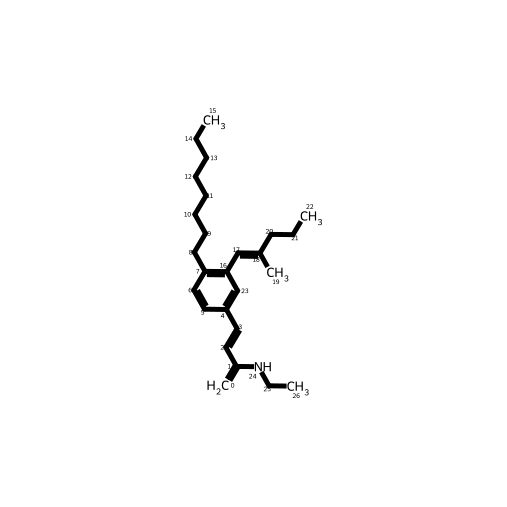 C=C(/C=C/c1ccc(CCCCCCCC)c(/C=C(\C)CCC)c1)NCC